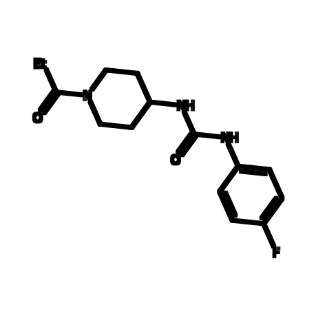 CCC(=O)N1CCC(NC(=O)Nc2ccc(F)cc2)CC1